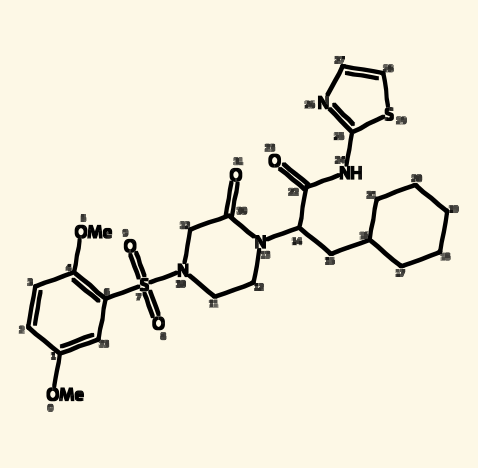 COc1ccc(OC)c(S(=O)(=O)N2CCN(C(CC3CCCCC3)C(=O)Nc3nccs3)C(=O)C2)c1